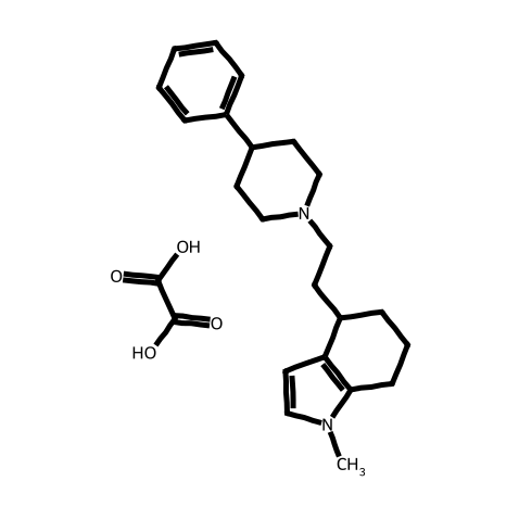 Cn1ccc2c1CCCC2CCN1CCC(c2ccccc2)CC1.O=C(O)C(=O)O